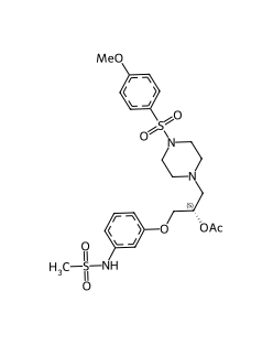 COc1ccc(S(=O)(=O)N2CCN(C[C@@H](COc3cccc(NS(C)(=O)=O)c3)OC(C)=O)CC2)cc1